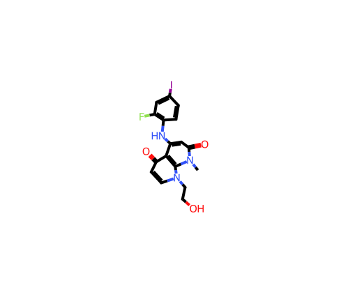 Cn1c(=O)cc(Nc2ccc(I)cc2F)c2c(=O)ccn(CCO)c21